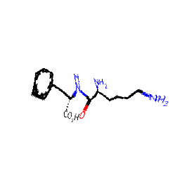 NCCCC[C@H](N)C(=O)N[C@H](C(=O)O)c1ccccc1